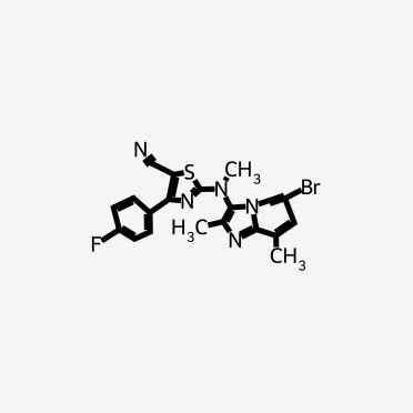 Cc1nc2c(C)cc(Br)cn2c1N(C)c1nc(-c2ccc(F)cc2)c(C#N)s1